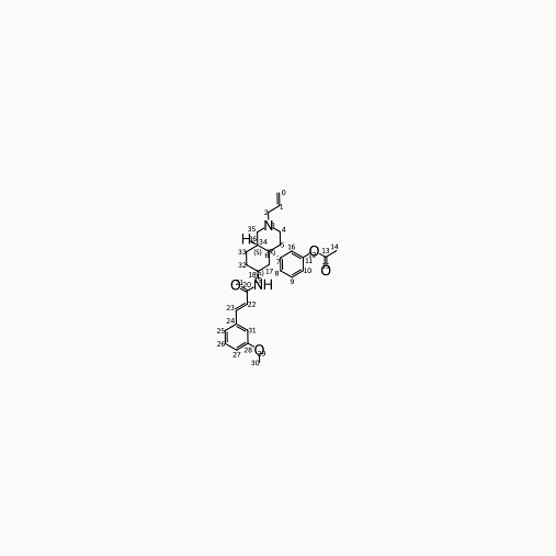 C=CCN1CC[C@@]2(c3cccc(OC(C)=O)c3)C[C@@H](NC(=O)C=Cc3cccc(OC)c3)CC[C@@H]2C1